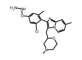 Cc1ccn2c(CC3CN(C)CCO3)c(-c3c(C)cc(ONN)cc3Cl)nc2c1